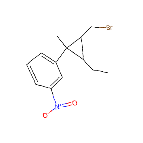 CCC1C(CBr)C1(C)c1cccc([N+](=O)[O-])c1